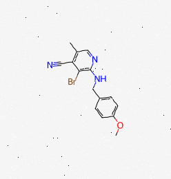 COc1ccc(CNc2ncc(C)c(C#N)c2Br)cc1